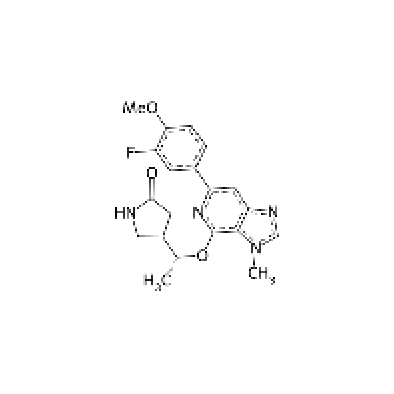 COc1ccc(-c2cc3ncn(C)c3c(O[C@H](C)C3CNC(=O)C3)n2)cc1F